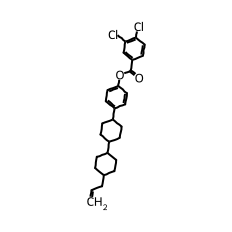 C=CCC1CCC(C2CCC(c3ccc(OC(=O)c4ccc(Cl)c(Cl)c4)cc3)CC2)CC1